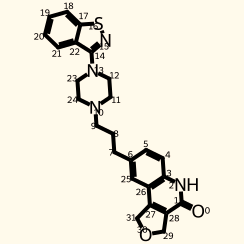 O=c1[nH]c2ccc(CCCN3CCN(c4nsc5ccccc45)CC3)cc2c2c1COC2